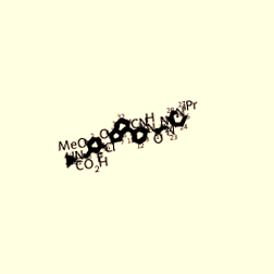 COc1cc(OC2CCc3c(-c4cccc(NC(=O)c5nc6c(n5C)CCN(C(C)C)C6)c4C#N)cccc32)c(Cl)c(F)c1CNC1(C(=O)O)CC1